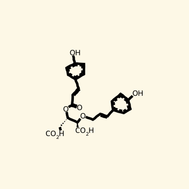 O=C(O)C[C@H](OC(=O)/C=C/c1ccc(O)cc1)[C@@H](OC/C=C/c1ccc(O)cc1)C(=O)O